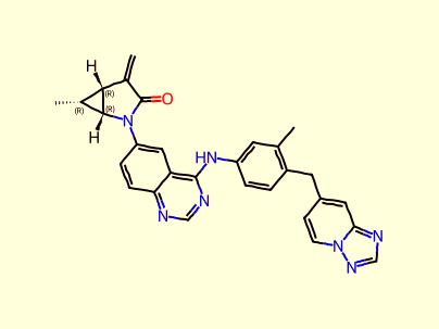 C=C1C(=O)N(c2ccc3ncnc(Nc4ccc(Cc5ccn6ncnc6c5)c(C)c4)c3c2)[C@@H]2[C@H](C)[C@H]12